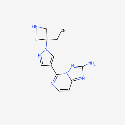 N#CCC1(n2cc(-c3nccc4nc(N)nn34)cn2)CNC1